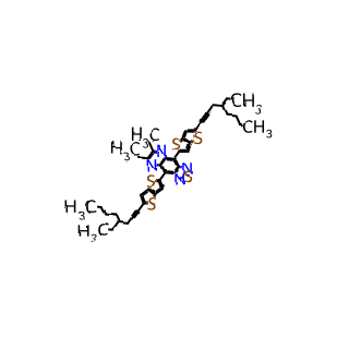 CCCCC(CC)CC#Cc1cc2sc(-c3c4nsnc4c(-c4cc5sc(C#CCC(CC)CCCC)cc5s4)c4nc(CC)c(CC)nc34)cc2s1